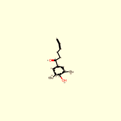 C=C=CCCC(=O)c1cc(C(C)(C)C)c(O)c(C(C)(C)C)c1